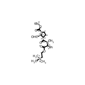 CC(C)[C@@H](C(=O)OCC[Si](C)(C)C)N(C)C(=O)[C@H]1CCN(C(=O)OC(C)(C)C)[C@@H]1C=O